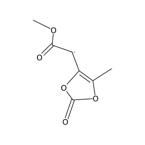 COC(=O)[CH]c1oc(=O)oc1C